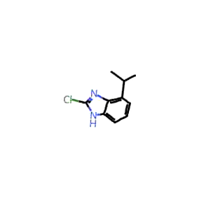 CC(C)c1cccc2[nH]c(Cl)nc12